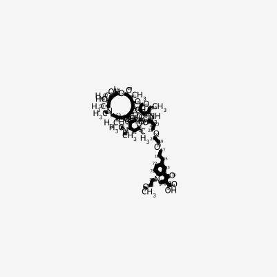 COCCn1cc(C(=O)O)c(=O)c2cc(CCCOCCOCCC(=O)N[C@@H]3[C@H](C)O[C@@H](O[C@H]4[C@H](C)[C@@H](O[C@@H]5O[C@H](C)C[C@H](N(C)C)[C@H]5O)[C@](C)(O)C[C@@H](C)CN(C)[C@H](C)[C@@H](O)[C@](C)(O)[C@@H](I)OC(=O)[C@@H]4C)C[C@@]3(C)OC)ccc21